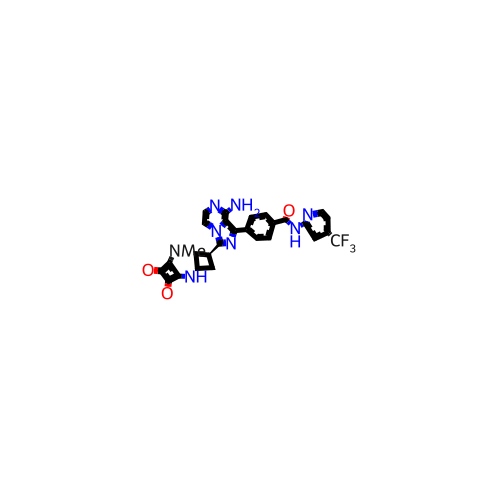 CNc1c(N[C@H]2C[C@H](c3nc(-c4ccc(C(=O)Nc5cc(C(F)(F)F)ccn5)cc4)c4c(N)nccn43)C2)c(=O)c1=O